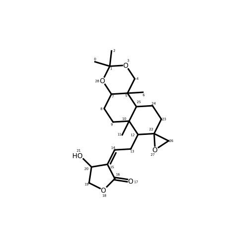 CC1(C)OCC2(C)C(CCC3(C)C(CC=C4C(=O)OCC4O)C4(CCC23)CO4)O1